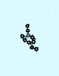 C1=CC2C(c3ccccc3N2c2cccc(-c3ccccc3)c2)c2c1oc1ccc(-c3nc(-c4ccc(-c5ccccc5)cc4)nc(-n4c5ccccc5c5ccccc54)n3)cc21